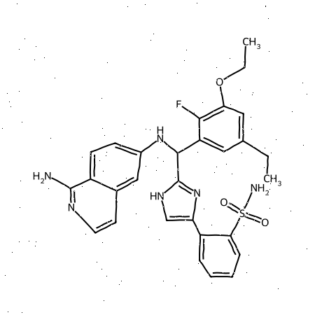 CCOc1cc(CC)cc(C(Nc2ccc3c(N)nccc3c2)c2nc(-c3ccccc3S(N)(=O)=O)c[nH]2)c1F